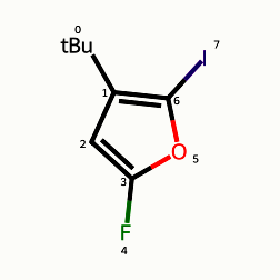 CC(C)(C)c1cc(F)oc1I